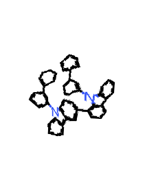 C1=CC(c2cccc(-n3c4ccccc4c4cc(-c5cccc6c7ccccc7n(C7=CC(c8ccccc8)=CCC7)c56)ccc43)c2)=CCC1